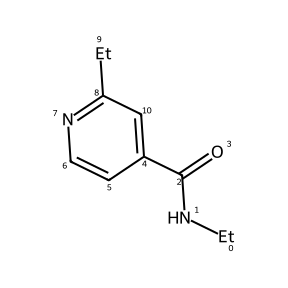 CCNC(=O)c1ccnc(CC)c1